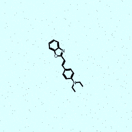 CCN(CC)c1ccc(C=Cc2nc3ccccc3o2)cc1